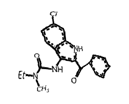 CCN(C)C(=O)Nc1c(C(=O)c2ccccc2)[nH]c2cc(Cl)ccc12